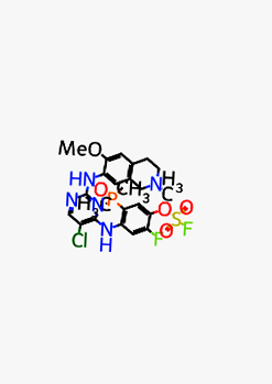 COc1cc2c(cc1Nc1ncc(Cl)c(Nc3cc(F)c(OS(=O)(=O)F)cc3P(C)(C)=O)n1)CN(C)CC2